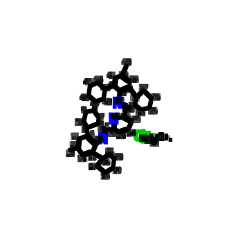 CC(=Nc1c(C2CCCCC2)cc(C)cc1C1CCCCC1)c1cccc(C(C)=Nc2c(C3CCCCC3)cc(C)cc2C2CCCCC2)n1.[Cl-].[Cl-].[V+2]